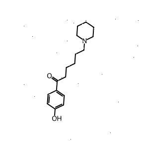 O=C(CCCCCN1CC[CH]CC1)c1ccc(O)cc1